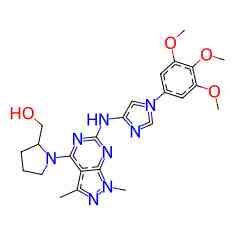 COc1cc(-n2cnc(Nc3nc(N4CCCC4CO)c4c(C)nn(C)c4n3)c2)cc(OC)c1OC